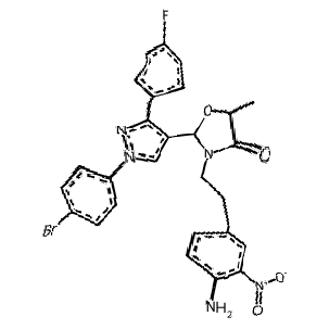 CC1OC(c2cn(-c3ccc(Br)cc3)nc2-c2ccc(F)cc2)N(CCc2ccc(N)c([N+](=O)[O-])c2)C1=O